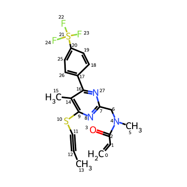 C=CC(=O)N(C)Cc1nc(SC#CC)c(C)c(-c2ccc(S(F)(F)F)cc2)n1